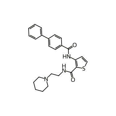 O=C(Nc1ccsc1C(=O)NCCN1CCCCC1)c1ccc(-c2ccccc2)cc1